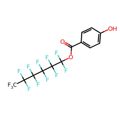 O=C(OC(F)(F)C(F)(F)C(F)(F)C(F)(F)C(F)(F)C(F)(F)F)c1ccc(O)cc1